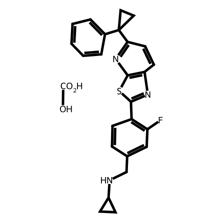 Fc1cc(CNC2CC2)ccc1-c1nc2ccc(C3(c4ccccc4)CC3)nc2s1.O=C(O)O